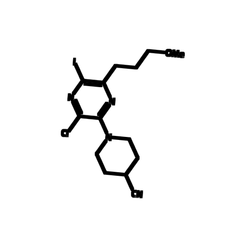 COCCCc1nc(N2CCC(C#N)CC2)c(Cl)nc1I